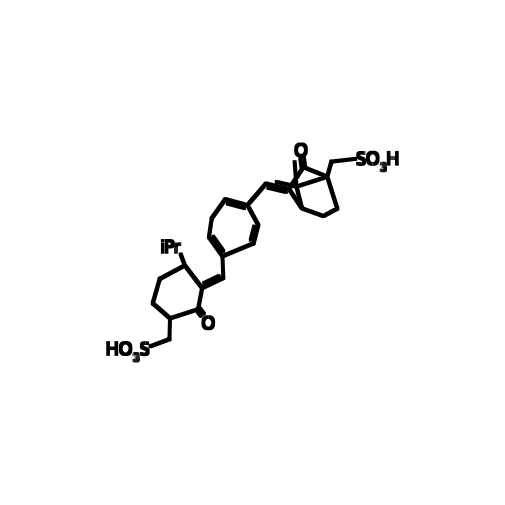 CC(C)C1CCC(CS(=O)(=O)O)C(=O)/C1=C/C1=CCC=C(/C=C2/C(=O)C3(CS(=O)(=O)O)CCC2C3(C)C)C=C1